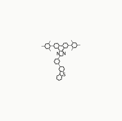 Cc1cc(C)c(-c2ccc3c4ccc(-c5c(C)cc(C)cc5C)cc4c4nc(-c5cccc(-c6ccc7sc8ccccc8c7c6)c5)cnc4c3c2)c(C)c1